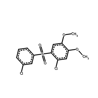 COc1cc(Cl)c(S(=O)(=O)c2cccc(Cl)c2)cc1OC